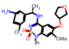 COc1cc2c(cc1O[C@H]1CCOC1)C(N[C@H](C)c1cc(N)cc(C(F)(F)F)c1)=NS(=O)(=O)N2C(C)C